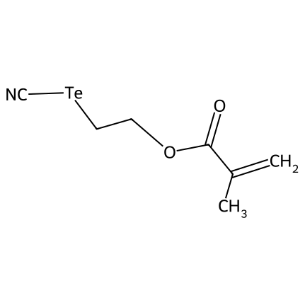 C=C(C)C(=O)OCC[Te]C#N